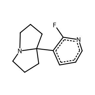 Fc1ncccc1C12CCCN1CCC2